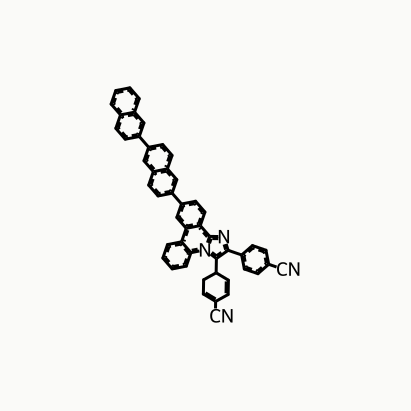 N#CC1=CCC(c2c(-c3ccc(C#N)cc3)nc3c4ccc(-c5ccc6cc(-c7ccc8ccccc8c7)ccc6c5)cc4c4ccccc4n23)C=C1